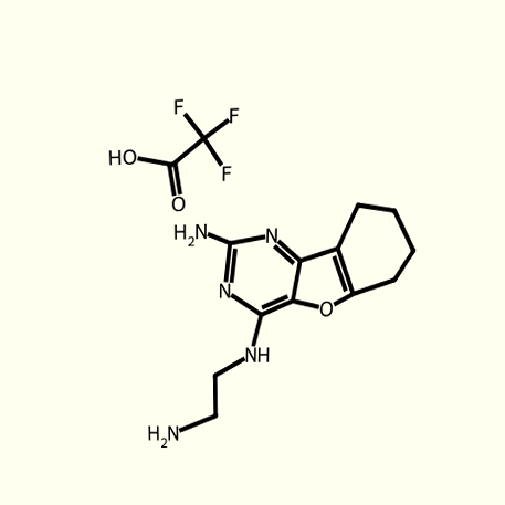 NCCNc1nc(N)nc2c3c(oc12)CCCC3.O=C(O)C(F)(F)F